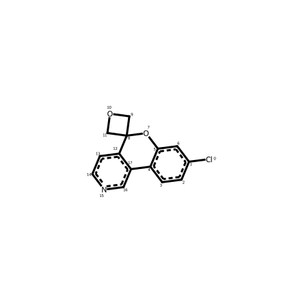 Clc1ccc2c(c1)OC1(COC1)c1ccncc1-2